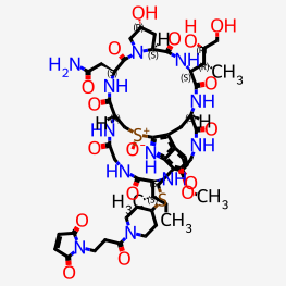 CC[C@H](C)[C@@H]1NC(=O)CNC(=O)[C@@H]2Cc3c([nH]c4c(CSC5CCN(C(=O)CCN6C(=O)C=CC6=O)CC5)c(OC)ccc34)[S+]([O-])C[C@H](NC(=O)CNC1=O)C(=O)N[C@@H](CC(N)=O)C(=O)N1C[C@H](O)C[C@H]1C(=O)N[C@@H]([C@@H](C)[C@@H](O)CO)C(=O)N2